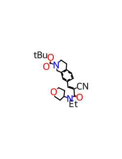 CCN(C(=O)/C(C#N)=C/c1ccc2c(c1)CN(C(=O)OC(C)(C)C)CC2)C1CCOCC1